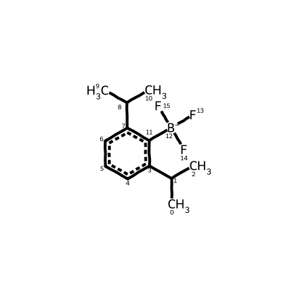 CC(C)c1cccc(C(C)C)c1[B-](F)(F)F